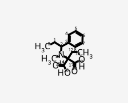 CCC(c1ccccc1)N(C)C(CC)(C(=O)O)C(=O)O